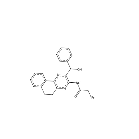 CC(C)CC(=O)Nc1nc2c(nc1C(O)c1ccccc1)-c1ccccc1CC2